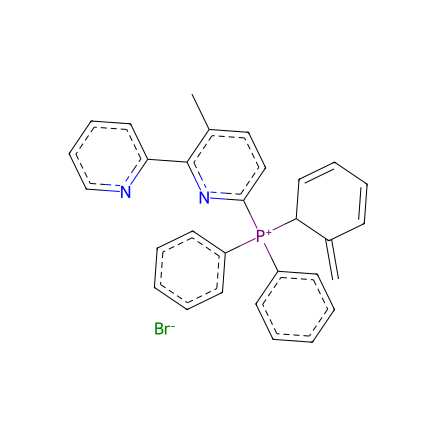 C=C1C=CC=CC1[P+](c1ccccc1)(c1ccccc1)c1ccc(C)c(-c2ccccn2)n1.[Br-]